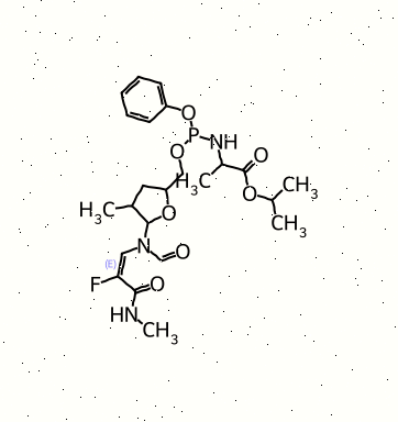 CNC(=O)/C(F)=C\N(C=O)C1OC(COP(NC(C)C(=O)OC(C)C)Oc2ccccc2)CC1C